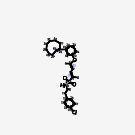 C/C(=C\C=C(/C)S(=O)(=O)NCCc1ccc(Cl)cc1)Oc1cccc(/C2=C\CCCCCCC2)c1